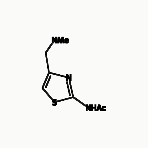 CNCc1csc(NC(C)=O)n1